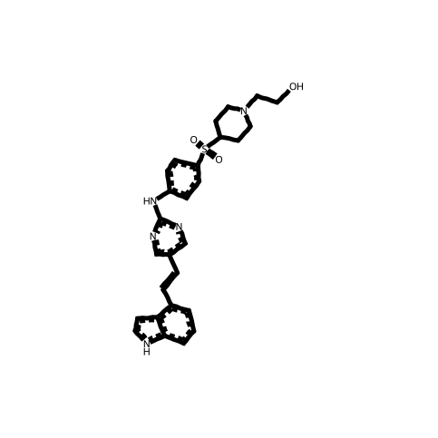 O=S(=O)(c1ccc(Nc2ncc(C=Cc3cccc4[nH]ccc34)cn2)cc1)C1CCN(CCO)CC1